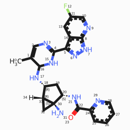 CC1=CN=C(c2n[nH]c3ncc(F)cc23)NC1N[C@@H]1C[C@H](NC(=O)c2ccccn2)[C@]2(N)C[C@H]12